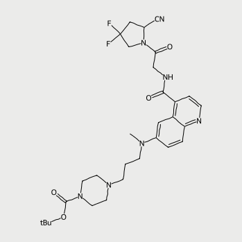 CN(CCCN1CCN(C(=O)OC(C)(C)C)CC1)c1ccc2nccc(C(=O)NCC(=O)N3CC(F)(F)CC3C#N)c2c1